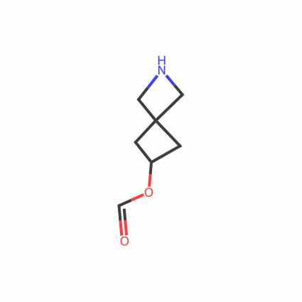 O=COC1CC2(CNC2)C1